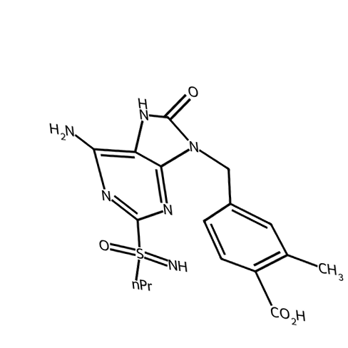 CCCS(=N)(=O)c1nc(N)c2[nH]c(=O)n(Cc3ccc(C(=O)O)c(C)c3)c2n1